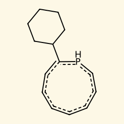 c1ccc[pH]c(C2CCCCC2)ccc1